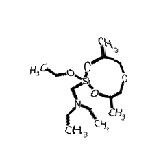 CCO[Si]1(CN(CC)CC)OC(C)COCC(C)O1